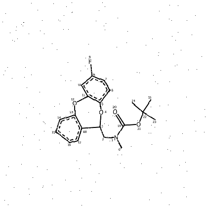 CN(CC1Oc2ccc(F)cc2Oc2ccccc21)C(=O)OC(C)(C)C